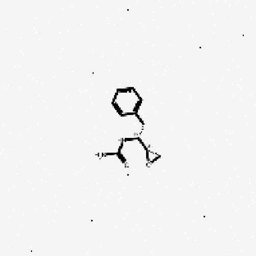 BC(=O)N[C@H](Cc1ccccc1)[C@@H]1CO1